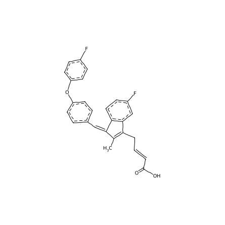 CC1=C(CC=CC(=O)O)c2cc(F)ccc2/C1=C\c1ccc(Oc2ccc(F)cc2)cc1